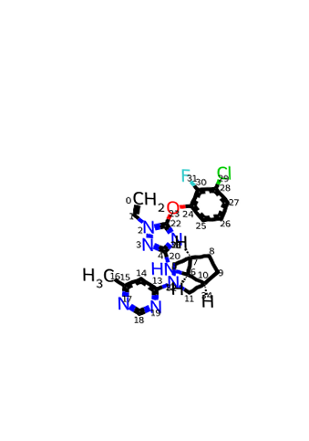 C=Cn1nc(N[C@H]2[C@@H]3CC[C@H]2CN(c2cc(C)ncn2)C3)nc1Oc1cccc(Cl)c1F